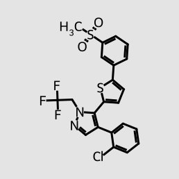 CS(=O)(=O)c1cccc(-c2ccc(-c3c(-c4ccccc4Cl)cnn3CC(F)(F)F)s2)c1